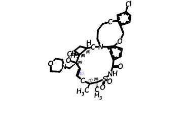 CO[C@@]1(CN2CCOCC2)/C=C/C[C@H](C)[C@@H](C)S(=O)(=O)NC(=O)c2ccc3c(c2)N(CCCCc2cc(Cl)ccc2CO3)C[C@@H]2CC[C@H]21